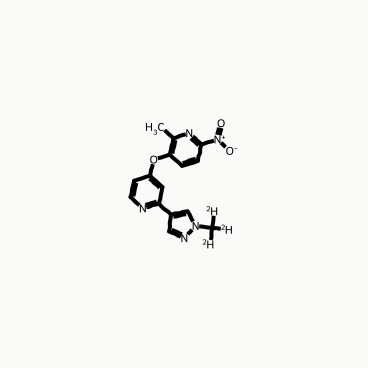 [2H]C([2H])([2H])n1cc(-c2cc(Oc3ccc([N+](=O)[O-])nc3C)ccn2)cn1